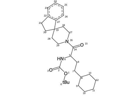 CC(C)(C)OC(=O)NC(CCC1CCCCC1)C(=O)N1CCC2(CCc3ccccc32)CC1